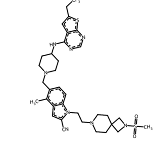 Cc1c(CN2CCC(Nc3ncnc4sc(CC(F)(F)F)cc34)CC2)ccc2c1cc(C#N)n2CCN1CCC2(CC1)CN(S(C)(=O)=O)C2